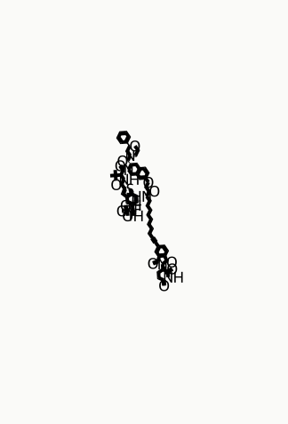 CC(C)(C)C(NC(=O)c1cc2cc(C(F)(F)P(=O)(O)O)ccc2s1)C(=O)N1Cc2cc(OCC(=O)NCCCCCCCCC#Cc3ccc4c(c3)C(=O)N(C3CCC(=O)NC3=O)C4=O)ccc2C[C@H]1C(=O)N1CCO[C@H](c2ccccc2)C1